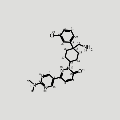 CN(C)c1ncc(-c2ccc(=O)n(C3CCC(CN)(c4cccc(Cl)c4)CC3)n2)cn1